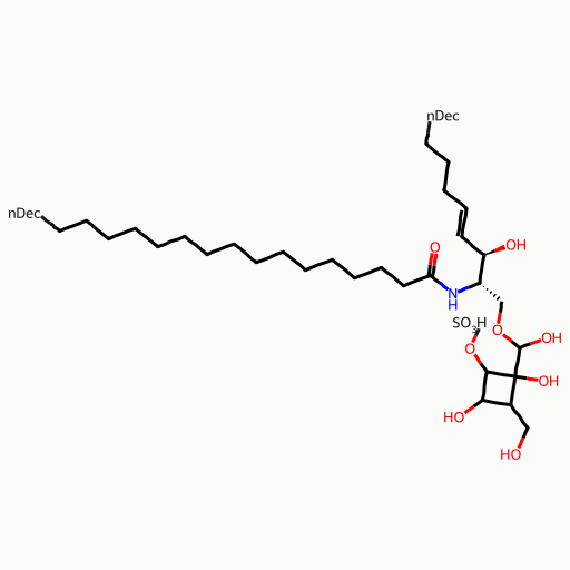 CCCCCCCCCCCCC/C=C/[C@@H](O)[C@H](COC(O)C1(O)C(CO)C(O)C1OS(=O)(=O)O)NC(=O)CCCCCCCCCCCCCCCCCCCCCCCCC